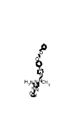 CN(CCN1CCN(c2ccc(OCCOCc3ccccc3)cc2)CC1)c1cc2nc(-c3ncco3)nn2c(N)n1